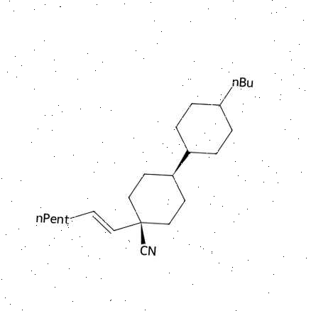 CCCCCC=C[C@]1(C#N)CC[C@@H](C2CCC(CCCC)CC2)CC1